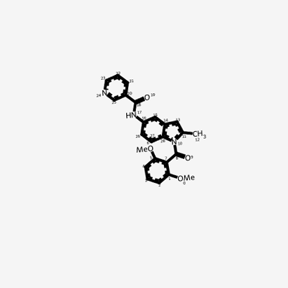 COc1cccc(OC)c1C(=O)n1c(C)cc2cc(NC(=O)c3cccnc3)ccc21